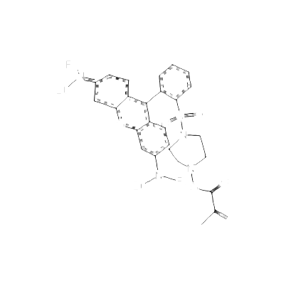 C=C(C)C(=O)ON1CCN(S(=O)(=O)c2ccccc2-c2c3ccc(=[N+](CC)CC)cc-3oc3cc(N(CC)CC)ccc23)CC1